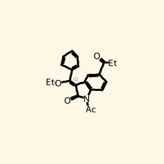 CCO/C(=C1\C(=O)N(C(C)=O)c2ccc(C(=O)CC)cc21)c1ccccc1